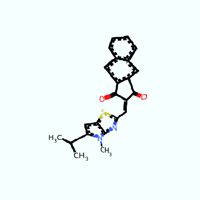 CC(C)c1cc2sc(C=C3C(=O)c4cc5ccccc5cc4C3=O)nc2n1C